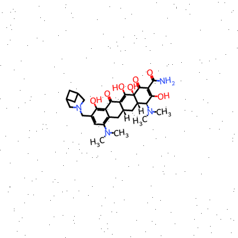 CN(C)c1cc(CN2CC3CC(C3)C2)c(O)c2c1C[C@H]1C[C@H]3[C@H](N(C)C)C(O)=C(C(N)=O)C(=O)[C@@]3(O)C(O)=C1C2=O